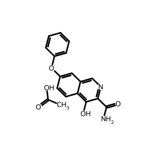 CC(=O)O.NC(=O)c1ncc2cc(Oc3ccccc3)ccc2c1O